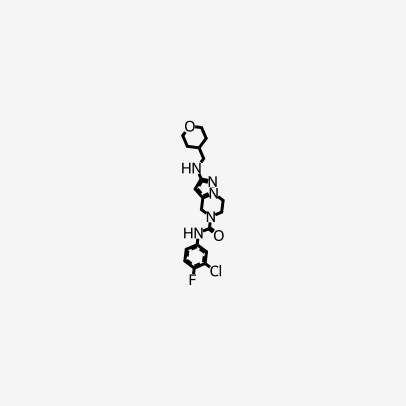 O=C(Nc1ccc(F)c(Cl)c1)N1CCn2nc(NCC3CCOCC3)cc2C1